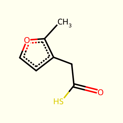 Cc1occc1CC(=O)S